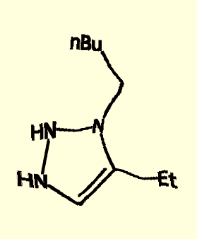 CCCCCN1NNC=C1CC